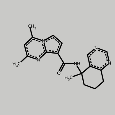 Cc1cc(C)n2ccc(C(=O)NC3(C)CCCc4ncncc43)c2n1